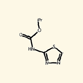 CC(C)OC(=O)Nc1nn[c]s1